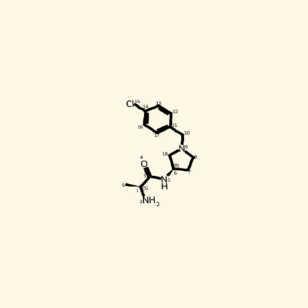 C[C@H](N)C(=O)N[C@@H]1CCN(Cc2ccc(Cl)cc2)C1